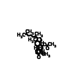 CC(=O)O[C@H]1C[C@H]2N(C)C(=O)CC[C@]2(C)[C@H]2CC[C@]3(C)[C@@H]([C@H](C)CCCC(C)C)CC[C@H]3[C@H]12